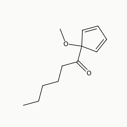 CCCCCC(=O)C1(OC)C=CC=C1